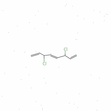 C=CC(Cl)/[C]=C/C(Cl)C=C